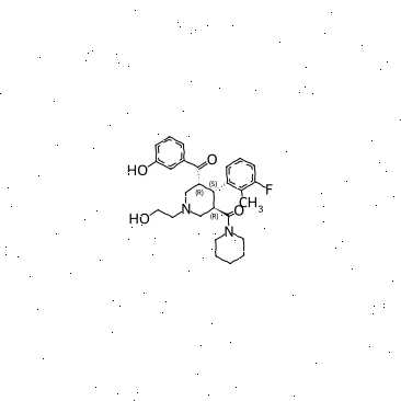 Cc1c(F)cccc1[C@H]1[C@@H](C(=O)c2cccc(O)c2)CN(CCO)C[C@@H]1C(=O)N1CCCCC1